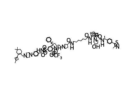 Cc1ncsc1-c1ccc([C@H](C)NC(=O)[C@@H]2C[C@@H](O)CN2C(=O)[C@@H](NC(=O)CCCCCCNC(=O)[C@H]2CCN(CC[C@H](CSc3ccccc3)Nc3ccc(S(=O)(=O)NC(=O)c4ccc(N5CCN(CC6=C(C78CC(C)(C7)C8)CC(C)(C)CC6)CC5)cc4)cc3S(=O)(=O)C(F)(F)F)C2)C(C)(C)C)cc1